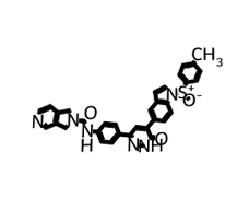 Cc1ccc([S+]([O-])n2ccc3cc(-c4cc(-c5ccc(NC(=O)N6Cc7ccncc7C6)cc5)n[nH]c4=O)ccc32)cc1